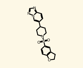 O=S(=O)(c1ccc2c(c1)CCO2)N1CCC(c2ccc3ncnn3c2)CC1